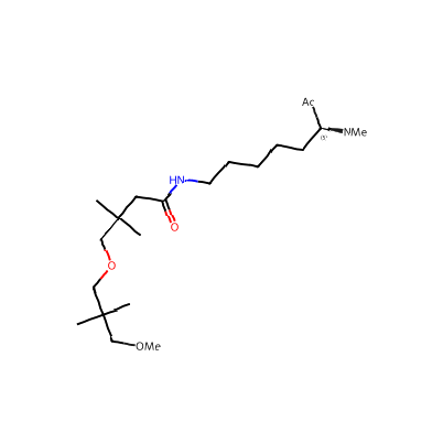 CN[C@@H](CCCCCNC(=O)CC(C)(C)COCC(C)(C)COC)C(C)=O